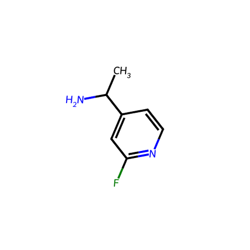 CC(N)c1ccnc(F)c1